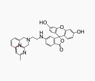 Cc1cccc(CN(CCNc2ccc3c(c2)C2(OC3=O)c3ccc(O)cc3Oc3cc(O)ccc32)Cc2cccc(C)n2)n1